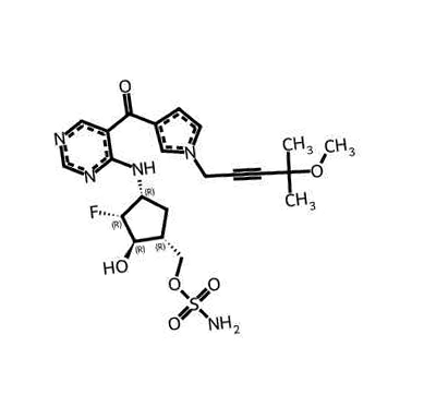 COC(C)(C)C#CCn1ccc(C(=O)c2cncnc2N[C@@H]2C[C@H](COS(N)(=O)=O)[C@@H](O)[C@@H]2F)c1